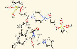 CS(=O)(=O)OCCC(=O)N1CCN(C(=O)CCOS(C)(=O)=O)CC1.O=C1c2cccc3cc([N+](=O)[O-])cc(c23)C(=O)N1CCN1CCCC1